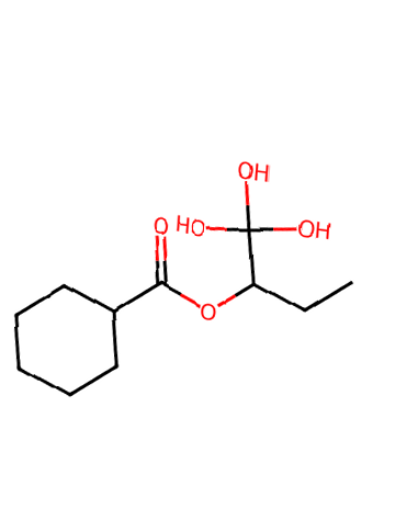 CCC(OC(=O)C1CCCCC1)C(O)(O)O